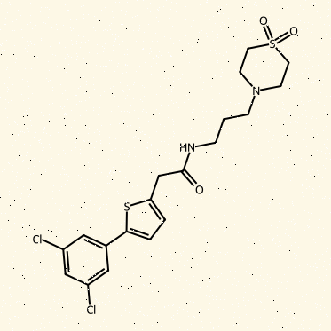 O=C(Cc1ccc(-c2cc(Cl)cc(Cl)c2)s1)NCCCN1CCS(=O)(=O)CC1